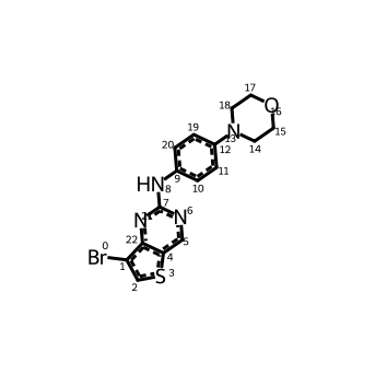 Brc1csc2cnc(Nc3ccc(N4CCOCC4)cc3)nc12